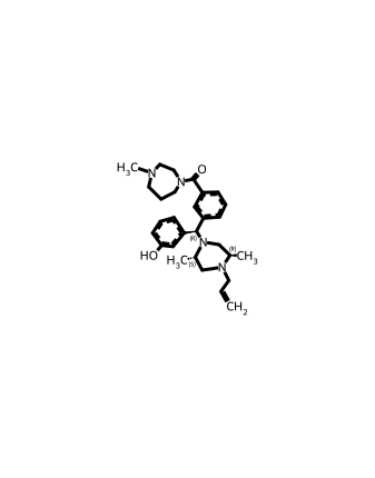 C=CCN1C[C@H](C)N([C@@H](c2cccc(O)c2)c2cccc(C(=O)N3CCCN(C)CC3)c2)C[C@H]1C